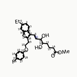 CCc1ccc2c(/C=C/C(O)C(O)CCCC(=O)OC)c(CCOc3ccc(F)cc3)sc2c1